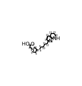 O=C(O)CN1CC[C@@H](CCCCCc2ccc3c(n2)NCCC3)C1